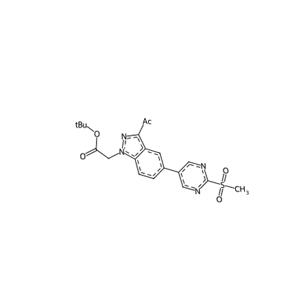 CC(=O)c1nn(CC(=O)OC(C)(C)C)c2ccc(-c3cnc(S(C)(=O)=O)nc3)cc12